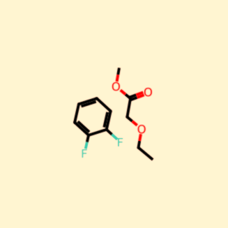 CCOCC(=O)OC.Fc1ccccc1F